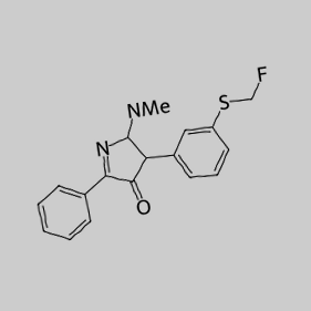 CNC1N=C(c2ccccc2)C(=O)C1c1cccc(SCF)c1